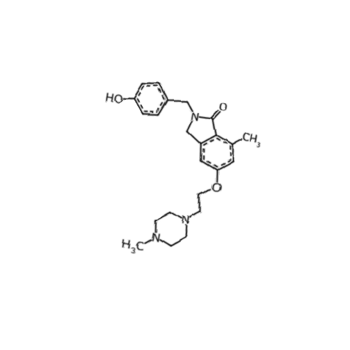 Cc1cc(OCCN2CCN(C)CC2)cc2c1C(=O)N(Cc1ccc(O)cc1)C2